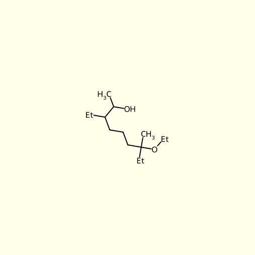 CCOC(C)(CC)CCCC(CC)C(C)O